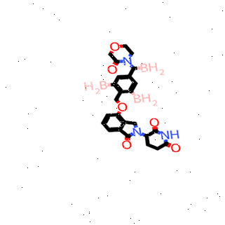 Bc1cc(C(B)N2CCOCC2=O)cc(B)c1COc1cccc2c1CN(C1CCC(=O)NC1=O)C2=O